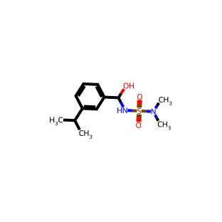 CC(C)c1cccc(C(O)NS(=O)(=O)N(C)C)c1